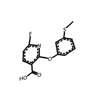 CSc1cccc(Oc2nc(F)ccc2C(=O)O)c1